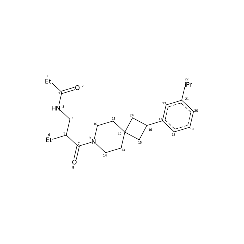 CCC(=O)NCC(CC)C(=O)N1CCC2(CC1)CC(c1cccc(C(C)C)c1)C2